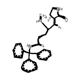 CC(=O)/C(=C1/CCNC1=O)C(CCC(=O)NC(c1ccccc1)(c1ccccc1)c1ccccc1)NC(=O)O